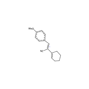 COc1ccc(/C=C(\C#N)C2=CCCCC2)cc1